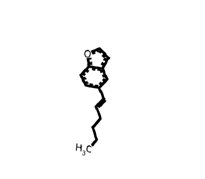 CCCCC=Cc1ccc2occc2c1